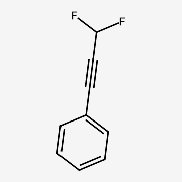 FC(F)C#Cc1ccccc1